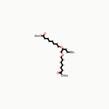 COC(=O)CCCCCCCOC(CCC(C)(C)C)COCCCCCCC(=O)OC